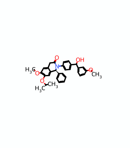 COc1cccc(C(O)c2ccc(N3C(=O)Cc4cc(OC)c(OC(C)C)cc4[C@@H]3c3ccccc3)cc2)c1